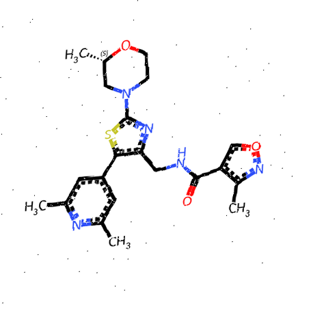 Cc1cc(-c2sc(N3CCO[C@@H](C)C3)nc2CNC(=O)c2conc2C)cc(C)n1